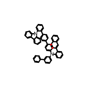 c1ccc(-c2cccc(N(c3ccc(-c4ccc(-c5ccccc5-n5c6ccccc6c6ccccc65)cc4)cc3)c3ccccc3-c3ccc4ccccc4c3)c2)cc1